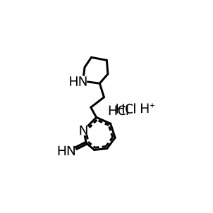 Cl.Cl.N=c1ccccc(CCC2CCCCN2)n1.[H+]